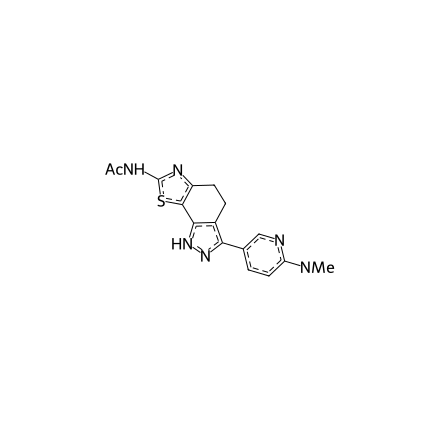 CNc1ccc(-c2n[nH]c3c2CCc2nc(NC(C)=O)sc2-3)cn1